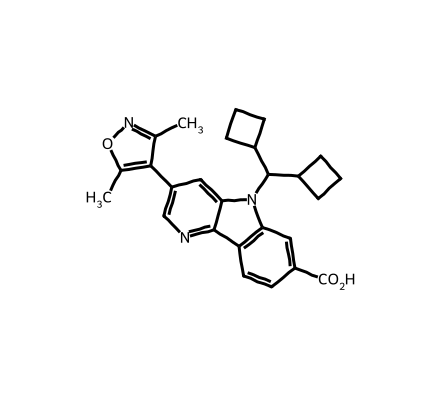 Cc1noc(C)c1-c1cnc2c3ccc(C(=O)O)cc3n(C(C3CCC3)C3CCC3)c2c1